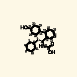 O=C(O)N[C@H]([CH]c1ccccc1)c1cnccc1-c1ccc(O)cc1